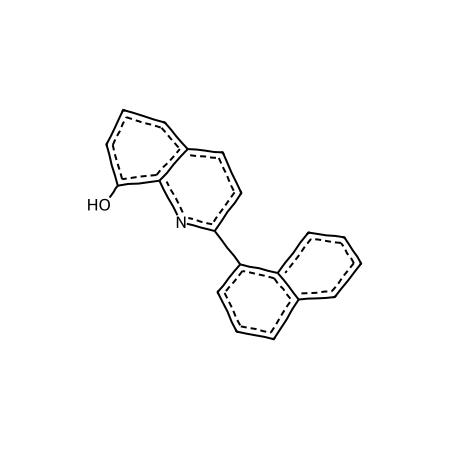 Oc1cccc2ccc(-c3cccc4ccccc34)nc12